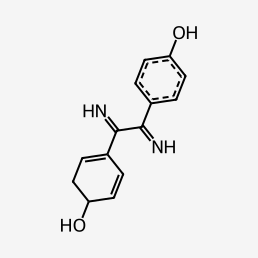 N=C(C(=N)c1ccc(O)cc1)C1=CCC(O)C=C1